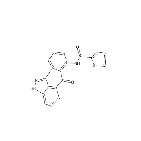 O=C(Nc1cccc2c1C(=O)c1cccc3[nH]nc-2c13)c1cccs1